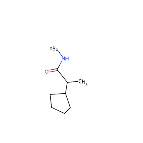 [CH2]CCCNC(=O)C(C)C1CCCC1